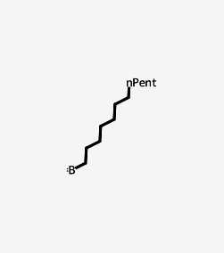 [B]CCCCCCCCCCCC